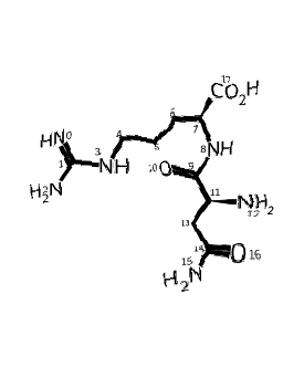 N=C(N)NCCC[C@H](NC(=O)[C@@H](N)CC(N)=O)C(=O)O